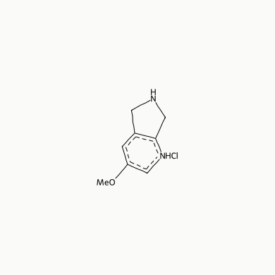 COc1cnc2c(c1)CNC2.Cl